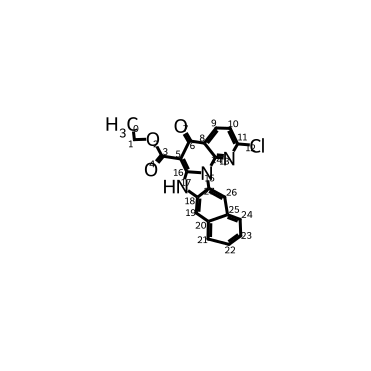 CCOC(=O)c1c(=O)c2ccc(Cl)nc2n2c1[nH]c1cc3ccccc3cc12